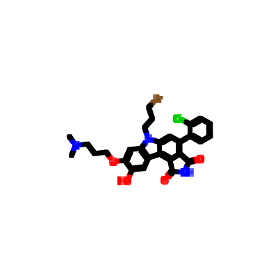 CN(C)CCCOc1cc2c(cc1O)c1c3c(c(-c4ccccc4Cl)cc1n2CCCBr)C(=O)NC3=O